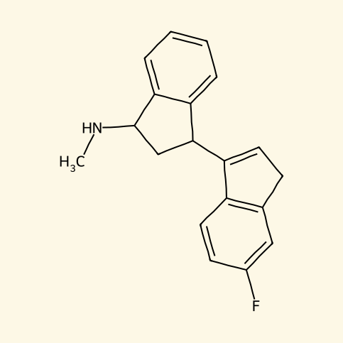 CNC1CC(C2=CCc3cc(F)ccc32)c2ccccc21